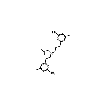 CNC[C@@H](CCCc1cc(C)cc(N)n1)CCc1cc(C)cc(N)n1